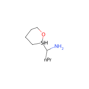 CCCC(N)[SiH]1CCCCO1